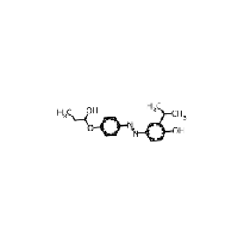 CCC(O)Oc1ccc(N=Nc2ccc(O)c(C(C)C)c2)cc1